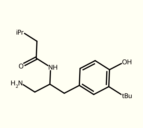 CC(C)CC(=O)NC(CN)Cc1ccc(O)c(C(C)(C)C)c1